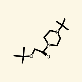 CC(C)(C)OCC(=O)N1CCN(C(C)(C)C)CC1